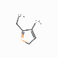 CCC1=PCC=C1C